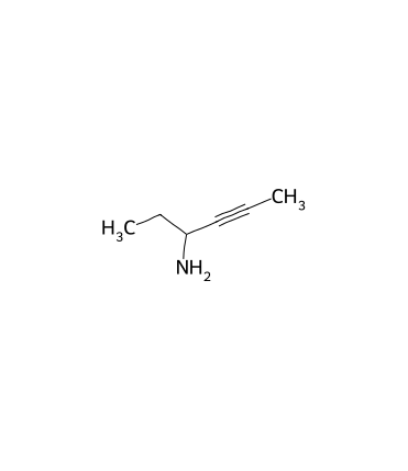 CC#CC(N)CC